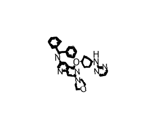 c1ccc(C(=Nc2cnc3cc(N4CCOCC4)nc(O[C@H]4CC[C@@H](Nc5ncccn5)CC4)c3c2)c2ccccc2)cc1